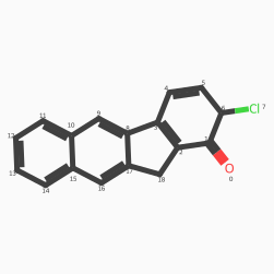 O=C1C2=C(C=CC1Cl)c1cc3ccccc3cc1C2